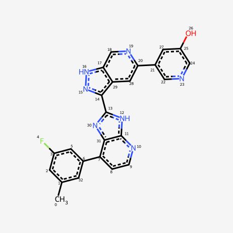 Cc1cc(F)cc(-c2ccnc3[nH]c(-c4n[nH]c5cnc(-c6cncc(O)c6)cc45)nc23)c1